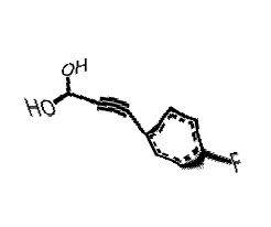 OC(O)C#Cc1ccc(F)cc1